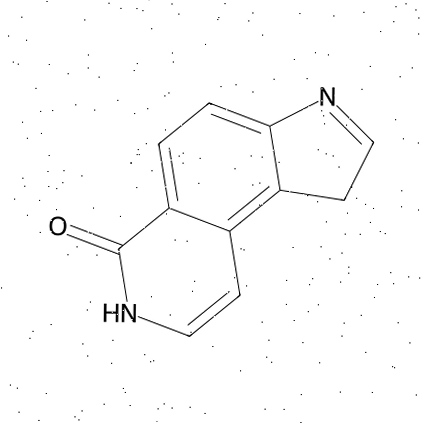 O=c1[nH]ccc2c3c(ccc12)N=CC3